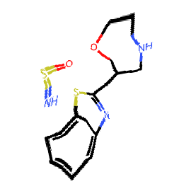 N=S=O.c1ccc2sc(C3CNCCO3)nc2c1